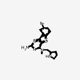 CN(CC1CCCN1)c1nc(N)nc2c1sc1ccc(Br)cc12